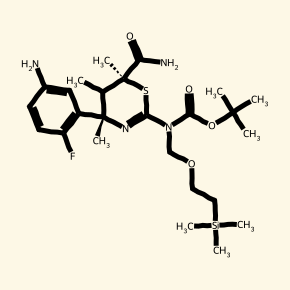 CC1[C@@](C)(C(N)=O)SC(N(COCC[Si](C)(C)C)C(=O)OC(C)(C)C)=N[C@]1(C)c1cc(N)ccc1F